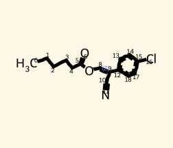 CCCCCC(=O)O/C=C(\C#N)c1ccc(Cl)cc1